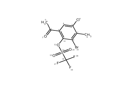 CC(=O)c1cc(Cl)c(C)c(Br)c1OS(=O)(=O)C(F)(F)F